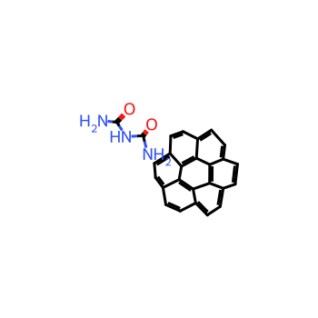 NC(=O)NC(N)=O.c1cc2ccc3ccc4ccc5ccc6ccc1c1c2c3c4c5c61